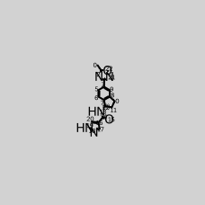 Cc1nc(-c2ccc3c(c2)CC[C@H]3NC(=O)c2cn[nH]c2)no1